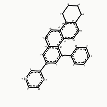 c1ccc(-c2cc(-c3cnccn3)cc3ccc4c5c(ccc4c23)CCCC5)cc1